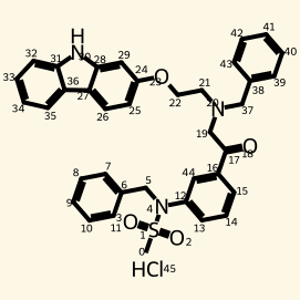 CS(=O)(=O)N(Cc1ccccc1)c1cccc(C(=O)CN(CCOc2ccc3c(c2)[nH]c2ccccc23)Cc2ccccc2)c1.Cl